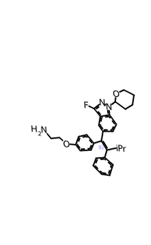 CC(C)/C(=C(/c1ccc(OCCN)cc1)c1ccc2c(c1)c(F)nn2C1CCCCO1)c1ccccc1